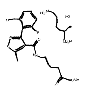 CC(CCN)C(=O)O.COC(=O)CCCNC(=O)c1c(-c2c(F)cccc2Cl)noc1C.Cl